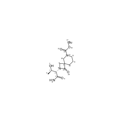 C[C@@H](O)[C@@H](C(N)=O)N1CC2(CCCN(C(=O)OC(C)(C)C)C2)C1=O